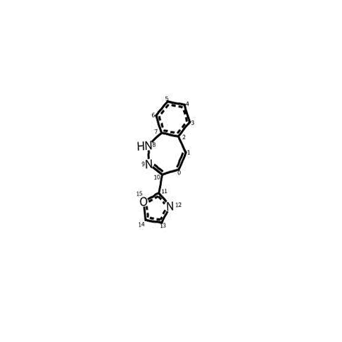 C1=Cc2ccccc2NN=C1c1ncco1